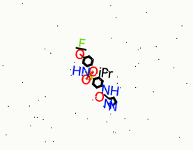 CC(C)c1cc(NC(=O)c2ccnn2C)ccc1S(=O)(=O)Nc1cccc(OC(C)(C)F)c1